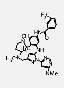 CNc1cc(-n2nc(CN(C)C3CCN(C)CC3)cc2Nc2cc(NC(=O)c3cccc(C(F)(F)F)c3)ccc2C)ncn1